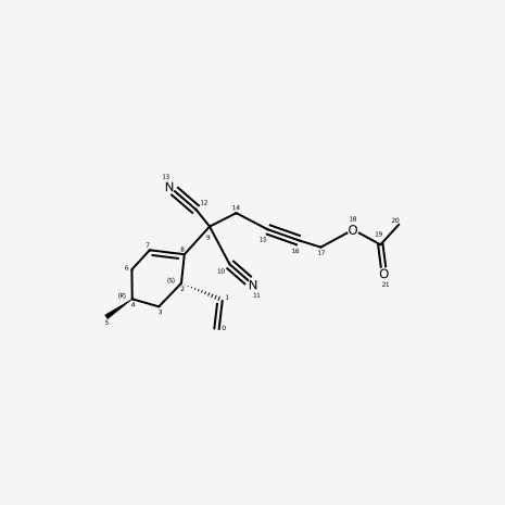 C=C[C@@H]1C[C@@H](C)CC=C1C(C#N)(C#N)CC#CCOC(C)=O